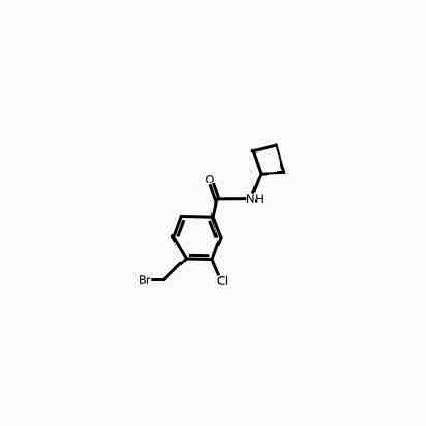 O=C(NC1CCC1)c1ccc(CBr)c(Cl)c1